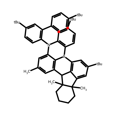 Cc1cc2c3c(c1)N(c1ccc(C(C)(C)C)cc1-c1ccc(C(C)(C)C)cc1)c1cc(C(C)(C)C)ccc1B3c1cc(C(C)(C)C)cc3c1C2C1(C)CCCCC31C